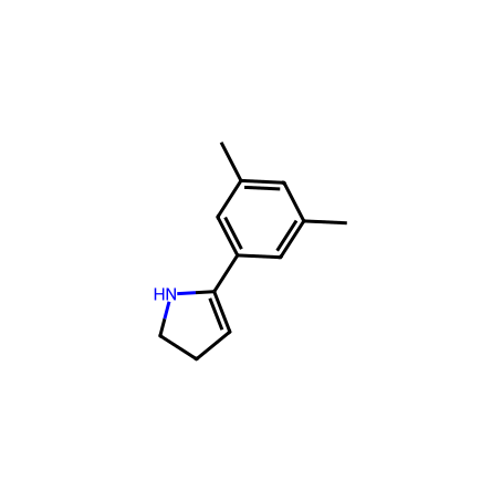 Cc1cc(C)cc(C2=CCCN2)c1